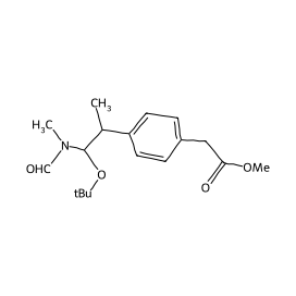 COC(=O)Cc1ccc(C(C)C(OC(C)(C)C)N(C)C=O)cc1